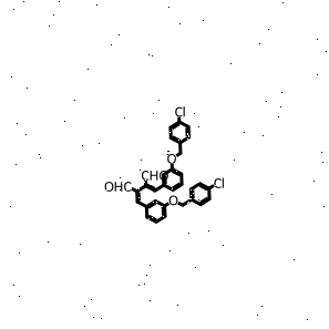 O=CC(=Cc1cccc(OCc2ccc(Cl)cc2)c1)C(C=O)=Cc1cccc(OCc2ccc(Cl)cc2)c1